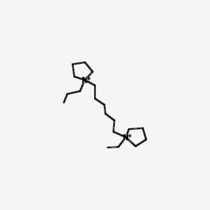 CCC[N+]1(CCCCCC[N+]2(CC)CCCC2)CCCC1